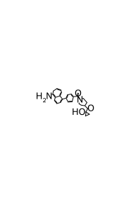 NC1=c2cccc(-c3ccc(C(=O)N4CCC(C(=O)C5(O)CC5)CC4)cc3)c2=CC=CC1